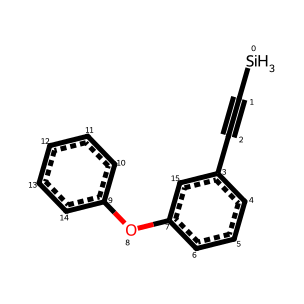 [SiH3]C#Cc1cccc(Oc2ccccc2)c1